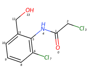 O=C(CCl)Nc1c(Cl)cccc1CO